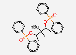 CCCCC(C)(C(C)OP(=O)(c1ccccc1)c1ccccc1)C(C)OP(=O)(c1ccccc1)c1ccccc1